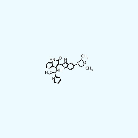 CC(Nc1c(-c2nc3ccc(N4C[C@@H](C)O[C@@H](C)C4)cc3[nH]2)c(=O)[nH]c2ccccc12)c1ccccn1